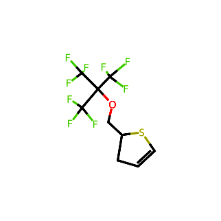 FC(F)(F)C(OCC1CC=CS1)(C(F)(F)F)C(F)(F)F